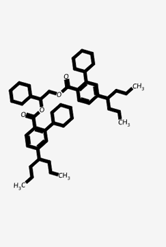 CCCC(CCC)c1ccc(C(=O)OCC(OC(=O)c2ccc(C(CCC)CCC)cc2C2CCCCC2)C2CCCCC2)c(C2CCCCC2)c1